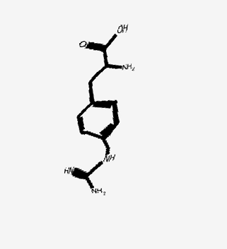 N=C(N)Nc1ccc(CC(N)C(=O)O)cc1